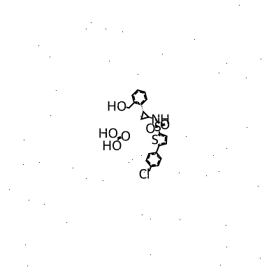 O=C(O)O.O=S(=O)(N[C@H]1C[C@@H]1c1ccccc1CO)c1ccc(-c2ccc(Cl)cc2)s1